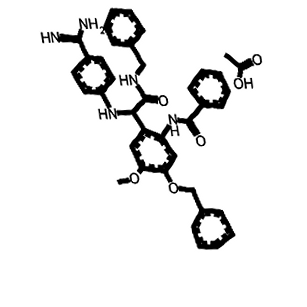 CC(=O)O.COc1cc(C(Nc2ccc(C(=N)N)cc2)C(=O)NCc2ccccc2)c(NC(=O)c2ccccc2)cc1OCc1ccccc1